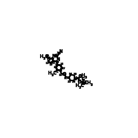 Cc1cc(-c2nc(C#N)nc3c2ccn3C)ccc1COCC1CCN(C(=O)OC(C)(C)C)CC1